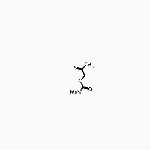 CNC(=O)OCC(C)=S